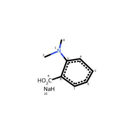 CN(C)c1ccccc1C(=O)O.[NaH]